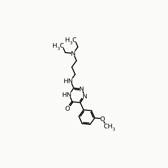 CCN(CC)CCCNc1nnc(-c2cccc(OC)c2)c(=O)[nH]1